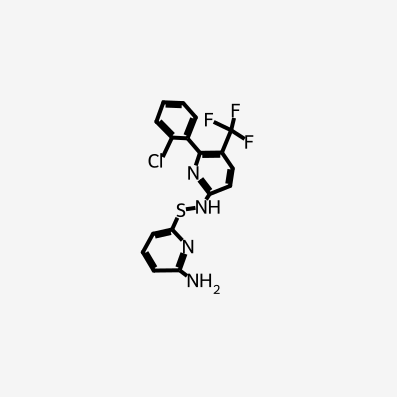 Nc1cccc(SNc2ccc(C(F)(F)F)c(-c3ccccc3Cl)n2)n1